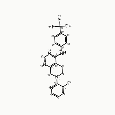 Fc1cccnc1N1CCc2c(ncnc2Nc2ccc(C(F)(F)F)cc2)C1